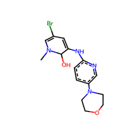 CN1C=C(Br)C=C(Nc2ccc(N3CCOCC3)cn2)C1O